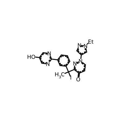 CCn1cc(-n2ccc(=O)c(C(C)(I)c3cccc(-c4ncc(O)cn4)c3)n2)cn1